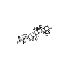 O=C(c1ccc(NS(=O)(=O)c2cccc3scnc23)cc1)N1CCC(O)(CCC(F)=C(F)F)CC1